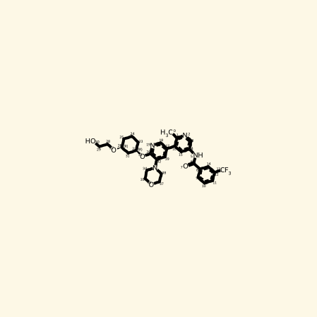 Cc1ncc(NC(=O)c2cccc(C(F)(F)F)c2)cc1-c1cnc(O[C@@H]2CCC[C@@H](OCCO)C2)c(N2CCOCC2)c1